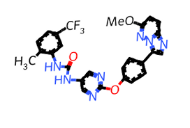 COc1ccc2ncc(-c3ccc(Oc4ncc(NC(=O)Nc5cc(C(F)(F)F)ccc5C)cn4)cc3)n2n1